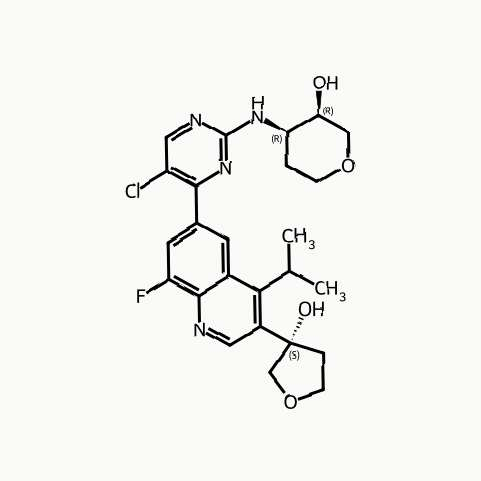 CC(C)c1c([C@@]2(O)CCOC2)cnc2c(F)cc(-c3nc(N[C@@H]4CCOC[C@@H]4O)ncc3Cl)cc12